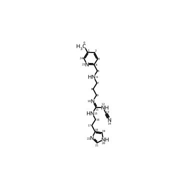 Cc1ccc(CNCCCN=C(NC#N)NCCc2c[nH]cn2)nc1